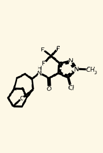 Cn1nc(C(F)(F)F)c(C(=O)NC2CCC3CC4CC(C3)C2C4)c1Cl